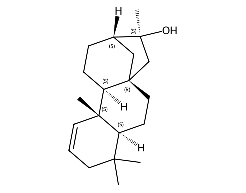 CC1(C)CC=C[C@@]2(C)[C@H]1CC[C@]13C[C@H](CC[C@@H]12)[C@@](C)(O)C3